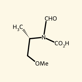 COC[C@H](C)N(C=O)C(=O)O